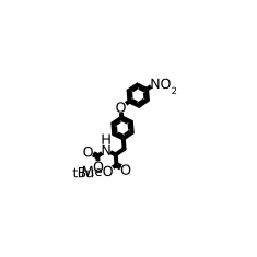 COC(=O)C(Cc1ccc(Oc2ccc([N+](=O)[O-])cc2)cc1)NC(=O)OC(C)(C)C